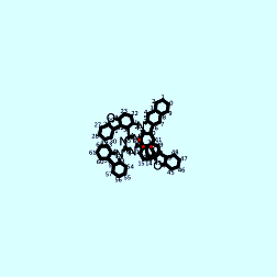 c1ccc2cc3c(cc2c1)c1cc2ccccc2cc1n3-c1ccc2oc3ccccc3c2c1-c1nc(-c2ccc3c(c2)oc2ccccc23)nc(-n2c3ccccc3c3ccccc32)n1